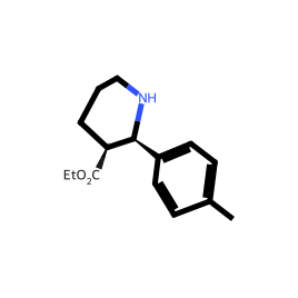 CCOC(=O)[C@H]1CCCN[C@H]1c1ccc(C)cc1